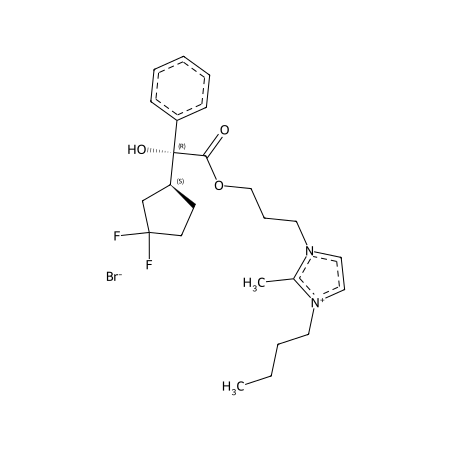 CCCC[n+]1ccn(CCCOC(=O)[C@](O)(c2ccccc2)[C@H]2CCC(F)(F)C2)c1C.[Br-]